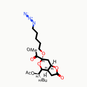 CC[C@@H](C)[C@@H](OC(C)=O)C1O[C@@](OCCCCCN=[N+]=[N-])(C(=O)OC)C[C@H]2OC(=O)C[C@@H]12